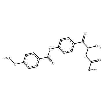 CCCCCCCCOc1ccc(C(=O)Oc2ccc(C(=O)C(C)OC(=O)CCCCC)cc2)cc1